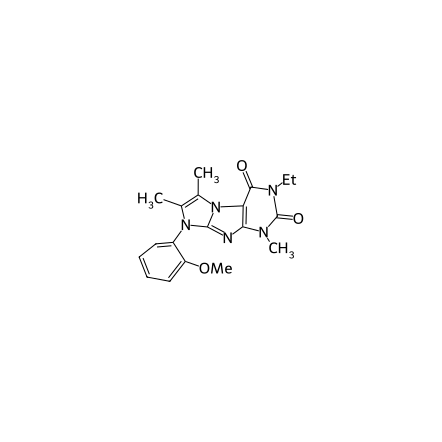 CCn1c(=O)c2c(nc3n(-c4ccccc4OC)c(C)c(C)n23)n(C)c1=O